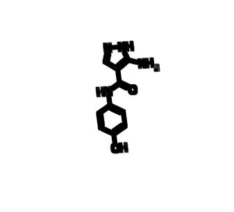 Nc1[nH]ncc1C(=O)Nc1ccc(O)cc1